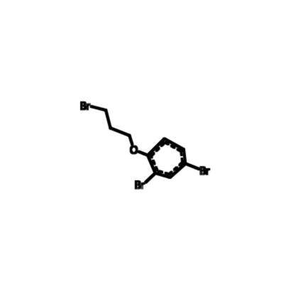 BrCCCOc1ccc(Br)cc1Br